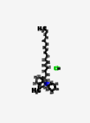 CCCCCCCCCCCCCCCCCC[N+](CCC)(c1ccccc1)c1ccccc1.[Cl-]